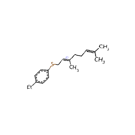 CCc1ccc(SC/C=C(\C)CCC=C(C)C)cc1